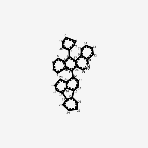 c1ccc(-c2c3ccccc3c(-c3ccc4c5c(cccc35)-c3ccccc3-4)c3cnc4ccccc4c23)cc1